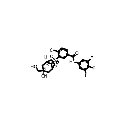 C[C@H]1C[C@@H]2C[C@@](C#N)(CO)CC1C2S(=O)(=O)c1cc(C(=O)Nc2cc(F)c(F)c(F)c2)ccc1Cl